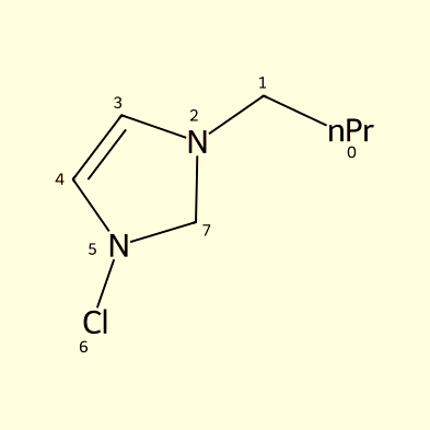 CCCCN1C=CN(Cl)C1